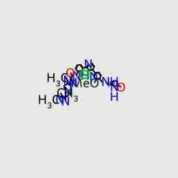 COc1nc(-c2ccnc(-c3cccc(NC(=O)c4nc5c(n4C)CCN(Cc4ncn(C)c4C)C5)c3Cl)c2Cl)ccc1CNC[C@H]1CCC(=O)N1